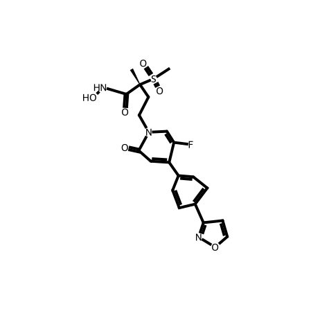 C[C@@](CCn1cc(F)c(-c2ccc(-c3ccon3)cc2)cc1=O)(C(=O)NO)S(C)(=O)=O